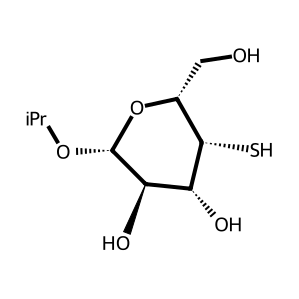 CC(C)O[C@@H]1O[C@H](CO)[C@H](S)[C@H](O)[C@H]1O